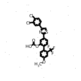 COc1ccc(-c2ccc(-c3nc(-c4ccc(Cl)c(Cl)c4)cs3)cc2OC(=O)O)c(C(F)(F)F)c1